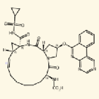 O=C(O)N[C@H]1CCCCC/C=C\[C@@H]2C[C@@]2(C(=O)NS(=O)(=O)C2CC2)NC(=O)[C@@H]2C[C@@H](Oc3nc4ncncc4c4ccccc34)CN2C1=O